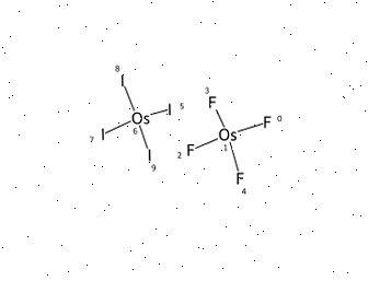 [F][Os]([F])([F])[F].[I][Os]([I])([I])[I]